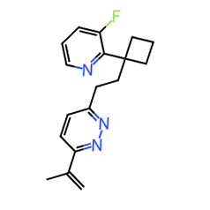 C=C(C)c1ccc(CCC2(c3ncccc3F)CCC2)nn1